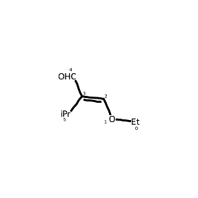 CCOC=C(C=O)C(C)C